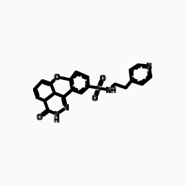 O=C1NN=C2c3cc(S(=O)(=O)NCCc4ccncc4)ccc3OC3=CC=CC1C32